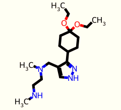 CCOC1(OCC)CCC(c2n[nH]cc2CN(C)CCNC)CC1